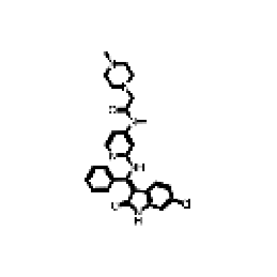 CN1CCN(CC(=O)N(C)c2ccnc(NC(=C3C(=O)Nc4cc(Cl)ccc43)c3ccccc3)c2)CC1